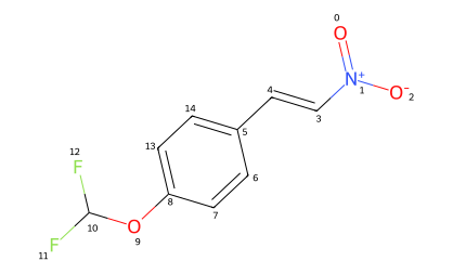 O=[N+]([O-])/C=C/c1ccc(OC(F)F)cc1